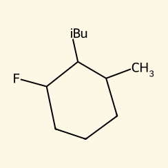 CCC(C)C1C(C)CCCC1F